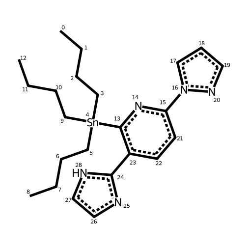 CCC[CH2][Sn]([CH2]CCC)([CH2]CCC)[c]1nc(-n2cccn2)ccc1-c1ncc[nH]1